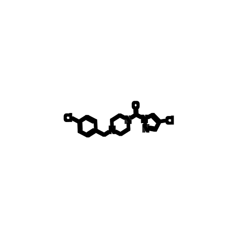 O=C(N1CCN(Cc2ccc(Cl)cc2)CC1)n1cc(Cl)cn1